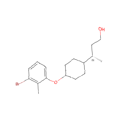 Cc1c(Br)cccc1OC1CCC([C@@H](C)CCO)CC1